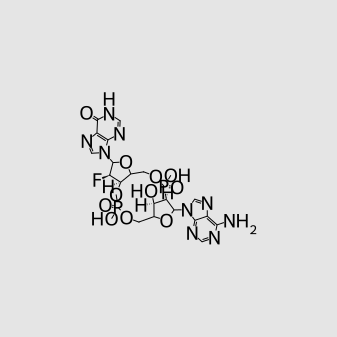 Nc1ncnc2c1ncn2C1OC2COP(=O)(O)O[C@@H]3C(COP(=O)(O)[C@@H]1[C@@H]2O)OC(n1cnc2c(=O)[nH]cnc21)[C@@H]3F